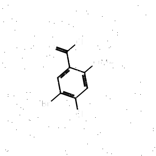 COc1cc(Cl)c(Br)cc1C(=O)Cl